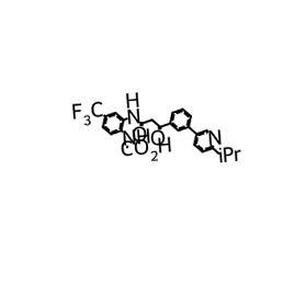 CC(C)c1ccc(-c2cccc(C(=O)CC(=O)Nc3cc(C(F)(F)F)ccc3NC(=O)O)c2)cn1